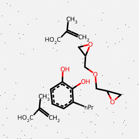 C(OCC1CO1)C1CO1.C=C(C)C(=O)O.C=C(C)C(=O)O.CCCc1cccc(O)c1O